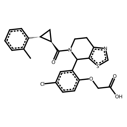 Cc1ccccc1[C@@H]1C[C@H]1C(=O)N1CCc2ncsc2C1c1cc(Cl)ccc1OCC(=O)O